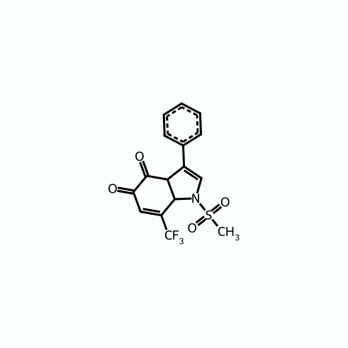 CS(=O)(=O)N1C=C(c2ccccc2)C2C(=O)C(=O)C=C(C(F)(F)F)C21